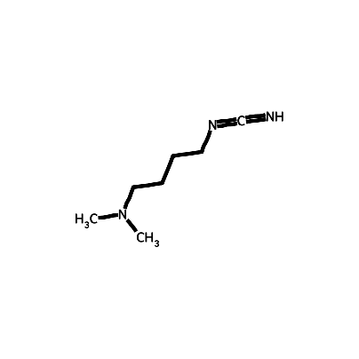 CN(C)CCCCN=C=N